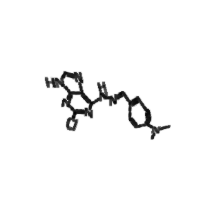 CN(C)c1ccc(C=NNc2nc(Cl)nc3[nH]cnc23)cc1